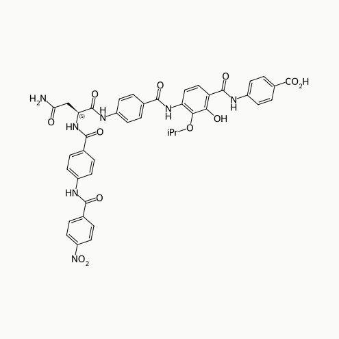 CC(C)Oc1c(NC(=O)c2ccc(NC(=O)[C@H](CC(N)=O)NC(=O)c3ccc(NC(=O)c4ccc([N+](=O)[O-])cc4)cc3)cc2)ccc(C(=O)Nc2ccc(C(=O)O)cc2)c1O